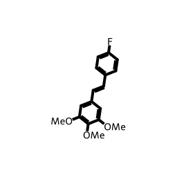 COc1cc(C=Cc2ccc(F)cc2)cc(OC)c1OC